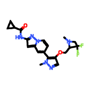 CN1CC(F)(F)C1COc1cnn(C)c1-c1ccn2nc(NC(=O)C3CC3)cc2c1